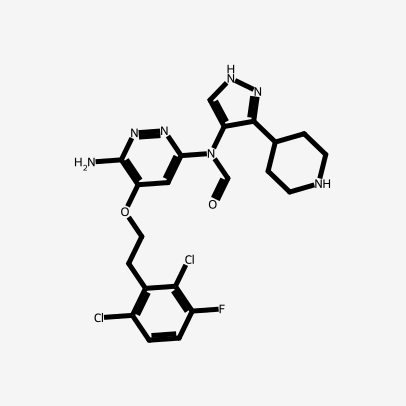 Nc1nnc(N(C=O)c2c[nH]nc2C2CCNCC2)cc1OCCc1c(Cl)ccc(F)c1Cl